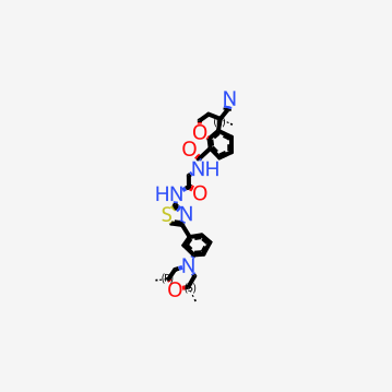 C[C@@H]1CN(c2cccc(-c3csc(NC(=O)CNC(=O)c4cccc5c4OCC[C@@]5(C)C#N)n3)c2)C[C@H](C)O1